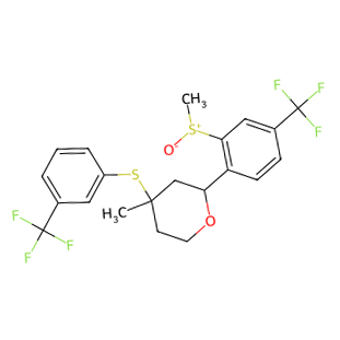 C[S+]([O-])c1cc(C(F)(F)F)ccc1C1CC(C)(Sc2cccc(C(F)(F)F)c2)CCO1